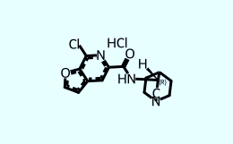 Cl.O=C(N[C@H]1CN2CCC1CC2)c1cc2ccoc2c(Cl)n1